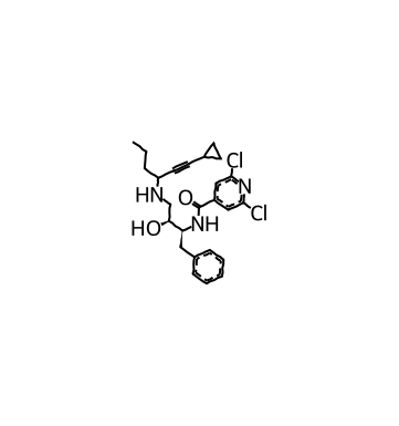 CCCC(C#CC1CC1)NC[C@H](O)[C@H](Cc1ccccc1)NC(=O)c1cc(Cl)nc(Cl)c1